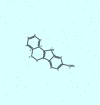 COc1ccc2c3c([nH]c2c1)-c1ccccc1SC3